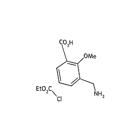 CCOC(=O)Cl.COc1c(CN)cccc1C(=O)O